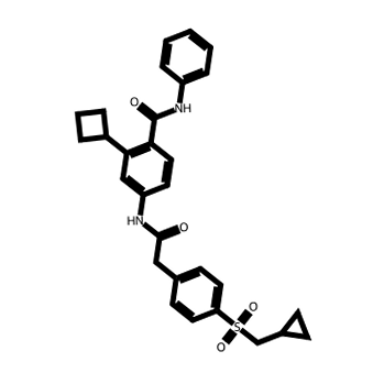 O=C(Cc1ccc(S(=O)(=O)CC2CC2)cc1)Nc1ccc(C(=O)Nc2ccccc2)c(C2CCC2)c1